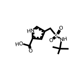 CC(C)(C)NS(=O)(=O)Cc1c[nH]c(C(=O)O)c1